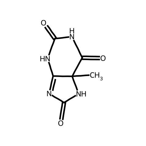 CC12NC(=O)N=C1NC(=O)NC2=O